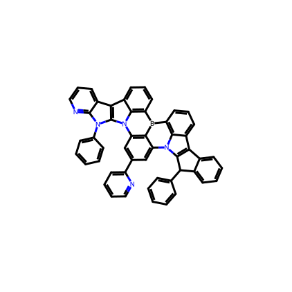 c1ccc(C2c3ccccc3-c3c2n2c4c(cccc34)B3c4c-2cc(-c2ccccn2)cc4-n2c4c3cccc4c3c4cccnc4n(-c4ccccc4)c32)cc1